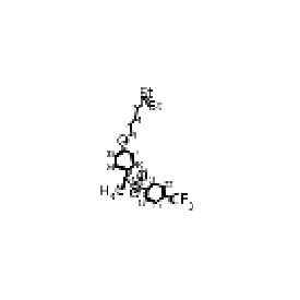 CCN(CC)CCCCOc1ccc(N(C)S(=O)(=O)c2ccc(C(F)(F)F)cc2)cc1